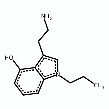 CCCn1cc(CCN)c2c(O)cccc21